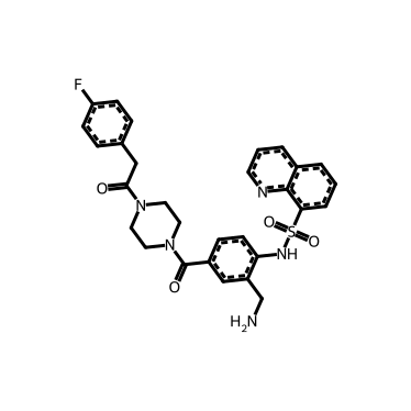 NCc1cc(C(=O)N2CCN(C(=O)Cc3ccc(F)cc3)CC2)ccc1NS(=O)(=O)c1cccc2cccnc12